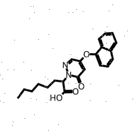 CCCCCCC(C(=O)O)n1ncc(Oc2cccc3ccccc23)cc1=O